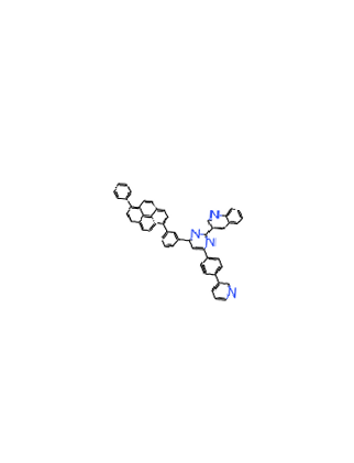 c1ccc(-c2ccc3ccc4c(-c5cccc(-c6cc(-c7ccc(-c8cccnc8)cc7)nc(-c7cnc8ccccc8c7)n6)c5)ccc5ccc2c3c54)cc1